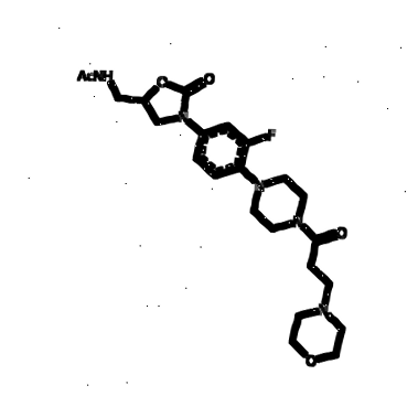 CC(=O)NCC1CN(c2ccc(N3CCN(C(=O)CCN4CCOCC4)CC3)c(F)c2)C(=O)O1